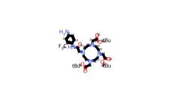 CC(C)(C)OC(=O)CN1CCN(CC(=O)Nc2ccc(N)cc2C(F)(F)F)CCN(CC(=O)OC(C)(C)C)CCN(CC(=O)OC(C)(C)C)CC1